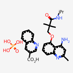 Cc1cc(N)c2c(OCC(C)(C)C(=O)NC(C)C)cccc2n1.O=C(O)c1cnc2ccccc2c1.O=P(O)(O)O